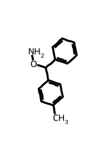 Cc1ccc(C(ON)c2ccccc2)cc1